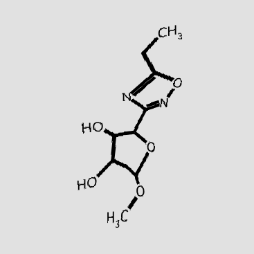 CCc1nc(C2OC(OC)C(O)C2O)no1